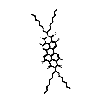 CCCCCCCC(CCCCCCC)N1C(=O)c2c(F)cc3c4cc(F)c5c6c(c(F)cc(c7cc(F)c(c2c37)C1=O)c64)C(=O)N(C(CCCCCCC)CCCCCCC)C5=O